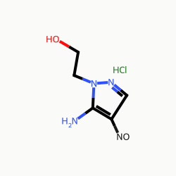 Cl.Nc1c(N=O)cnn1CCO